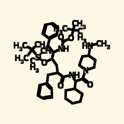 CNC1CCN(C(=O)C(NC(=O)C(Cc2ccccc2)CC(O[Si](C)(C)C(C)(C)C)C(Cc2ccccc2)NC(=O)OC(C)(C)C)C2CCCCC2)CC1